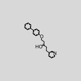 O[C@@H](CCOc1ccc(-c2ccccc2)cc1)CCc1cccnc1